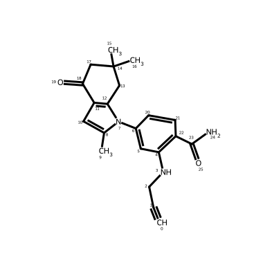 C#CCNc1cc(-n2c(C)cc3c2CC(C)(C)CC3=O)ccc1C(N)=O